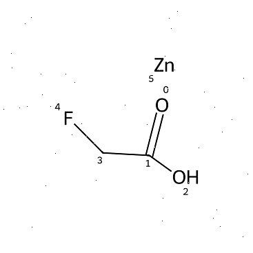 O=C(O)CF.[Zn]